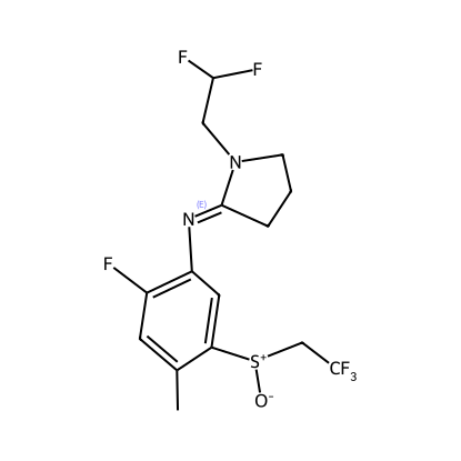 Cc1cc(F)c(/N=C2\CCCN2CC(F)F)cc1[S+]([O-])CC(F)(F)F